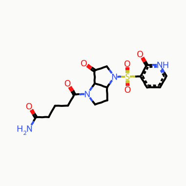 NC(=O)CCCC(=O)N1CCC2C1C(=O)CN2S(=O)(=O)c1ccc[nH]c1=O